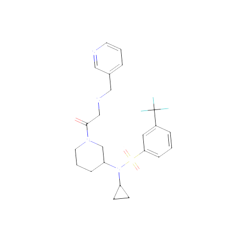 O=C(CNCc1cccnc1)N1CCCC(N(C2CC2)S(=O)(=O)c2cccc(C(F)(F)F)c2)C1